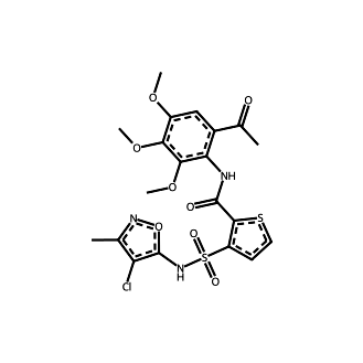 COc1cc(C(C)=O)c(NC(=O)c2sccc2S(=O)(=O)Nc2onc(C)c2Cl)c(OC)c1OC